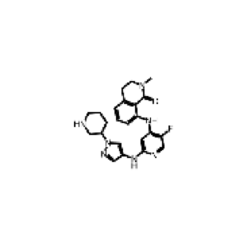 CN1CCc2cccc(Nc3cc(Nc4cnn(C5CCCNC5)c4)ncc3F)c2C1=O